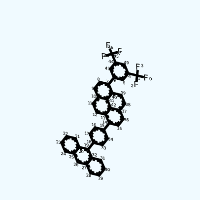 FC(F)(F)c1cc(-c2ccc3ccc4c(-c5ccc(-c6c7ccccc7cc7ccccc67)cc5)ccc5ccc2c3c54)cc(C(F)(F)F)c1